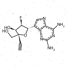 C#C[C@]1(CO)O[C@@H](c2cnc3c(N)nc(N)nn23)[C@H](F)[C@@H]1O